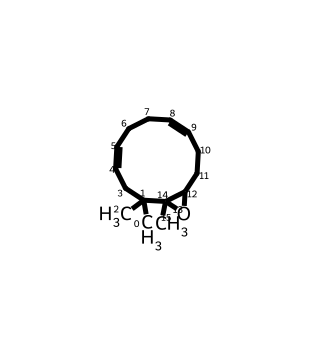 CC1(C)C/C=C\CC/C=C\CCC2OC21C